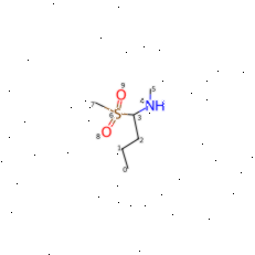 CCCC(NC)S(C)(=O)=O